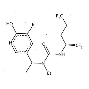 CCN(C(=O)N[C@@H](CCC(F)(F)F)C(F)(F)F)C(C)c1cnc(O)c(Br)c1